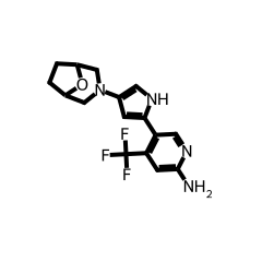 Nc1cc(C(F)(F)F)c(-c2cc(N3CC4CCC(C3)O4)c[nH]2)cn1